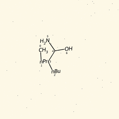 CCCC.CCCCCC(N)O